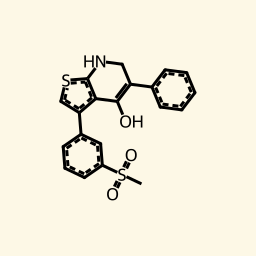 CS(=O)(=O)c1cccc(-c2csc3c2C(O)=C(c2ccccc2)CN3)c1